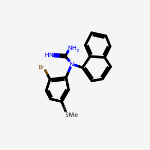 CSc1ccc(Br)c(N(C(=N)N)c2cccc3ccccc23)c1